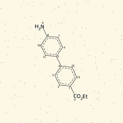 CCOC(=O)c1ccc(-c2ccc(N)cc2)cc1